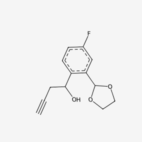 C#CCC(O)c1ccc(F)cc1C1OCCO1